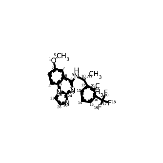 COc1ccc2c(c1)c(N[C@H](C)c1cccc(C(F)(F)F)c1C)nc1nccn12